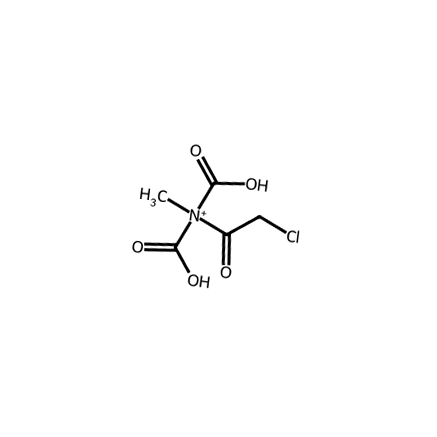 C[N+](C(=O)O)(C(=O)O)C(=O)CCl